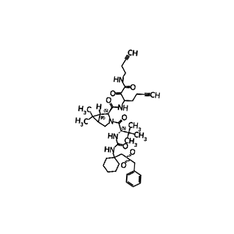 C#CCCNC(=O)C(=O)C(CCC#C)NC(=O)[C@@H]1[C@@H]2C(CN1C(=O)[C@@H](NC(=O)NC1(CS(=O)(=O)Cc3ccccc3)CCCCC1)C(C)(C)C)C2(C)C